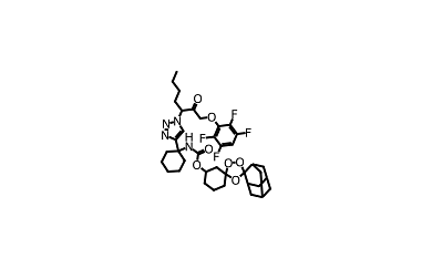 CCCCC(C(=O)COc1c(F)c(F)cc(F)c1F)n1cc(C2(NC(=O)OC3CCCC4(C3)OOC3(O4)C4CC5CC(C4)CC3C5)CCCCC2)nn1